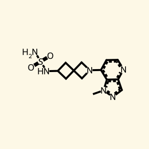 Cn1ncc2nccc(N3CC4(CC(NS(N)(=O)=O)C4)C3)c21